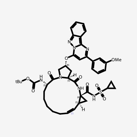 COc1cccc(-c2cc(O[C@@H]3C[C@H]4C(=O)N[C@]5(C(=O)NS(=O)(=O)C6CC6)C[C@H]5/C=C\CCCCC[C@H](NC(=O)OC(C)(C)C)C(=O)N4C3)n3nc4ccccc4c3n2)c1